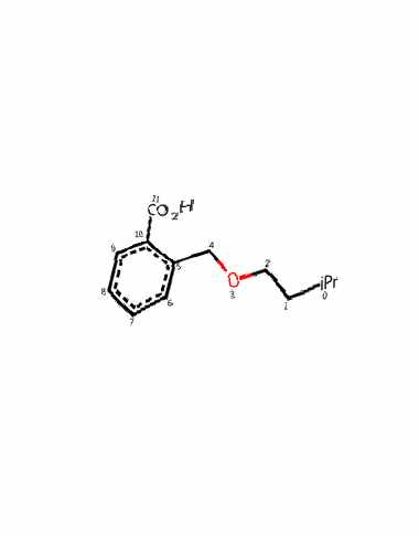 CC(C)CCOCc1ccccc1C(=O)O